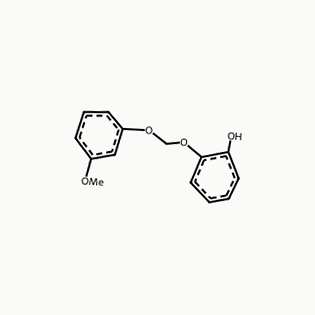 COc1cccc(OCOc2ccccc2O)c1